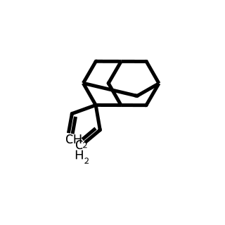 C=CC1(C=C)C2CC3CC(C2)CC1C3